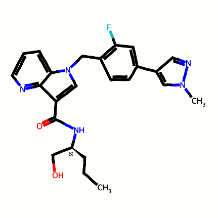 CCC[C@@H](CO)NC(=O)c1cn(Cc2ccc(-c3cnn(C)c3)cc2F)c2cccnc12